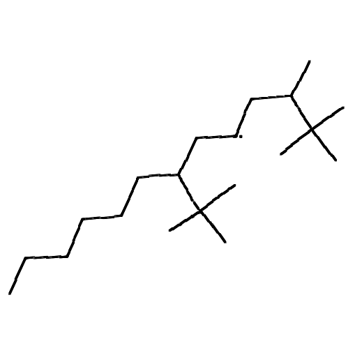 CCCCCCC(C[CH]CC(C)C(C)(C)C)C(C)(C)C